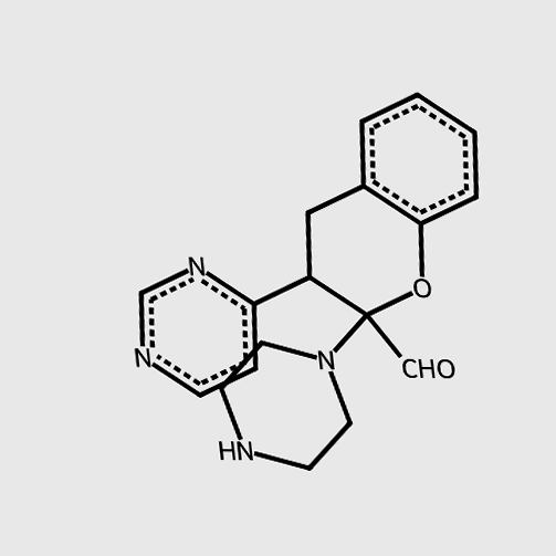 O=CC1(N2CCNCC2)Oc2ccccc2CC1c1ccncn1